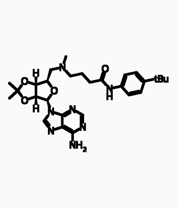 CN(CCCC(=O)Nc1ccc(C(C)(C)C)cc1)C[C@H]1O[C@@H](n2cnc3c(N)ncnc32)[C@@H]2OC(C)(C)O[C@@H]21